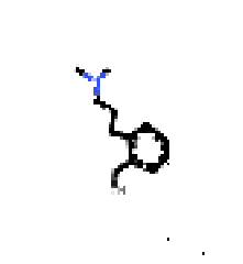 CN(C)CCCc1ccccc1CC#N